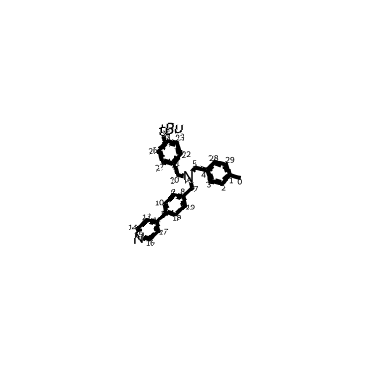 Cc1ccc(CN(Cc2ccc(-c3ccncc3)cc2)Cc2ccc(C(C)(C)C)cc2)cc1